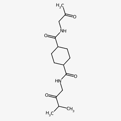 CC(=O)CNC(=O)C1CCC(C(=O)NCC(=O)C(C)C)CC1